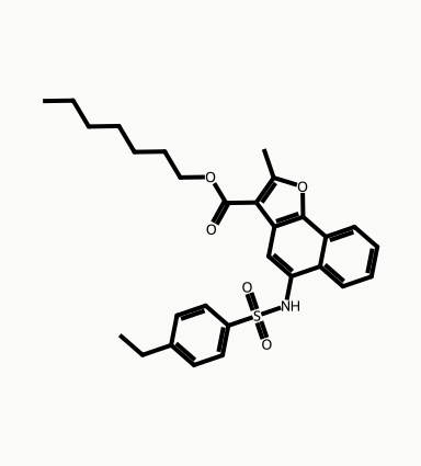 CCCCCCCOC(=O)c1c(C)oc2c1cc(NS(=O)(=O)c1ccc(CC)cc1)c1ccccc12